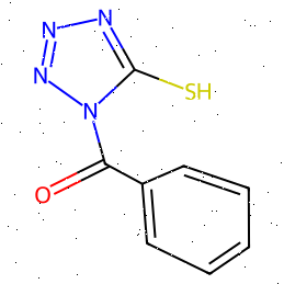 O=C(c1ccccc1)n1nnnc1S